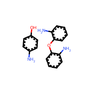 Nc1ccc(O)cc1.Nc1ccccc1Oc1ccccc1N